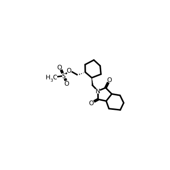 CS(=O)(=O)OC[C@@H]1CCCC[C@H]1CN1C(=O)C2CCCCC2C1=O